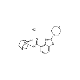 Cl.O=C(N[C@@H]1CN2CCC1CC2)c1cccc2oc(N3CCOCC3)nc12